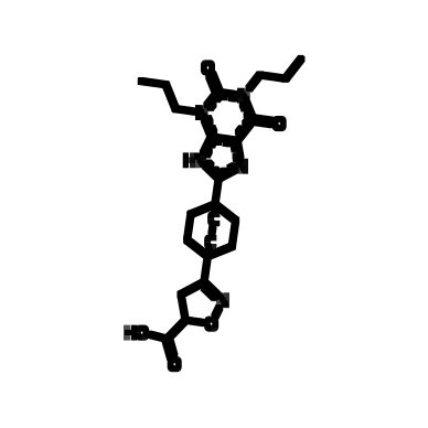 CCCn1c(=O)c2nc(C34CCC(C5=NOC(C(=O)O)C5)(CC3)CC4)[nH]c2n(CCC)c1=O